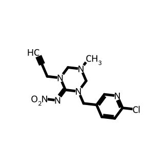 C#CCN1CN(C)CN(Cc2ccc(Cl)nc2)C1=N[N+](=O)[O-]